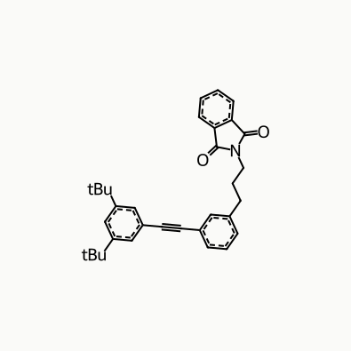 CC(C)(C)c1cc(C#Cc2cccc(CCCN3C(=O)c4ccccc4C3=O)c2)cc(C(C)(C)C)c1